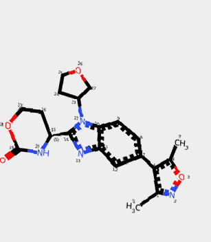 Cc1noc(C)c1-c1ccc2c(c1)nc([C@@H]1CCOC(=O)N1)n2C1CCOC1